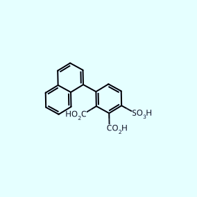 O=C(O)c1c(-c2cccc3ccccc23)ccc(S(=O)(=O)O)c1C(=O)O